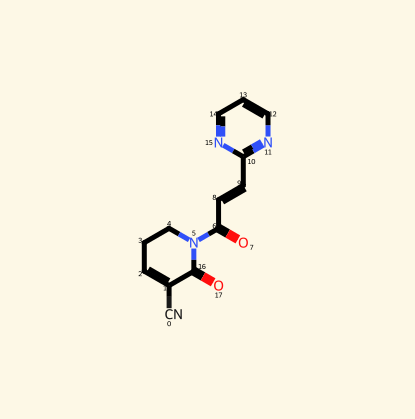 N#CC1=CCCN(C(=O)/C=C/c2ncccn2)C1=O